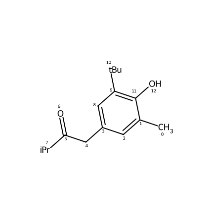 Cc1cc(CC(=O)C(C)C)cc(C(C)(C)C)c1O